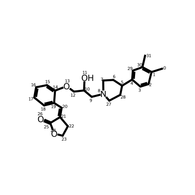 Cc1ccc(C2CCN(CC(O)COc3ccccc3C=C3CCOC3=O)CC2)cc1C